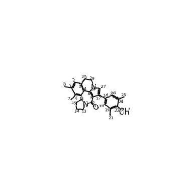 Cc1cc2c(cc1C)-c1c(C(=O)N3CCCC3)c(-c3cc(C)c(O)c(C)c3)cn1CC2